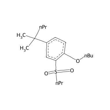 [CH2]CCS(=O)(=O)c1cc(C(C)(C)CCC)ccc1OCCCC